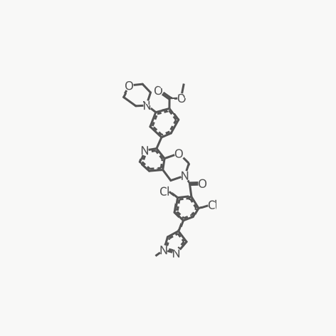 COC(=O)c1ccc(-c2nccc3c2OCN(C(=O)c2c(Cl)cc(-c4cnn(C)c4)cc2Cl)C3)cc1N1CCOCC1